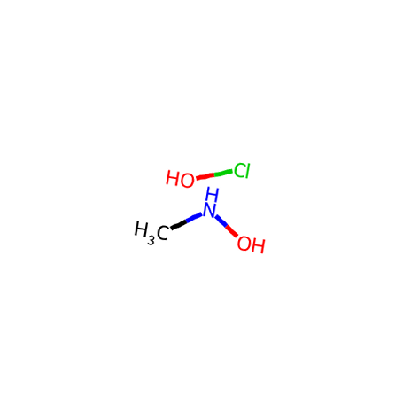 CNO.OCl